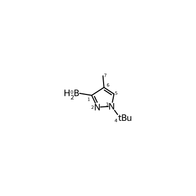 Bc1nn(C(C)(C)C)cc1C